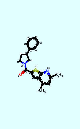 Cc1cc(C)c2cc(C(=O)N3CCC(c4ccccc4)C3)sc2n1